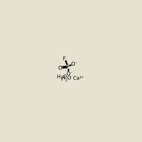 O.O.O=P([O-])([O-])F.[Ca+2]